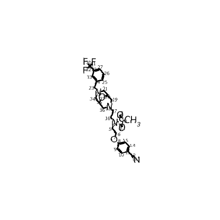 CS(=O)(=O)N(CCOc1ccc(C#N)cc1)CCN1CC2CN(Cc3cccc(C(F)(F)F)c3)CC(C1)O2